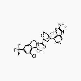 C[C@H]1c2c(Cl)cc(C(F)(F)F)cc2CCN1C(=O)[C@@]12C[C@@H](CO1)N(c1cncc3nc(N)sc13)C2